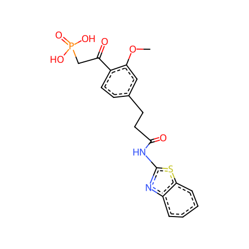 COc1cc(CCC(=O)Nc2nc3ccccc3s2)ccc1C(=O)CP(=O)(O)O